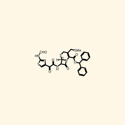 CSCC1=C(C(=O)OC(c2ccccc2)c2ccccc2)N2C(=O)C(NC(=O)C(=O)c3csc(NC=O)n3)[C@@H]2SC1